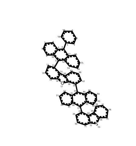 c1ccc(-c2c3ccccc3c(-c3cccc4oc5c(-c6c7ccccc7c(-c7cccc8sc9ccccc9c78)c7ccccc67)cccc5c34)c3ccccc23)cc1